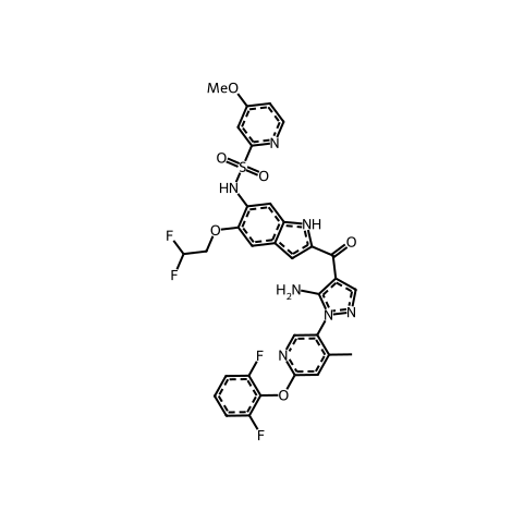 COc1ccnc(S(=O)(=O)Nc2cc3[nH]c(C(=O)c4cnn(-c5cnc(Oc6c(F)cccc6F)cc5C)c4N)cc3cc2OCC(F)F)c1